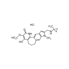 Cl.Cn1c(CNC2(C)CC2)cc2cc3c(cc21)CCCc1c-3[nH]c(=O)c(OC(=O)O)c1O